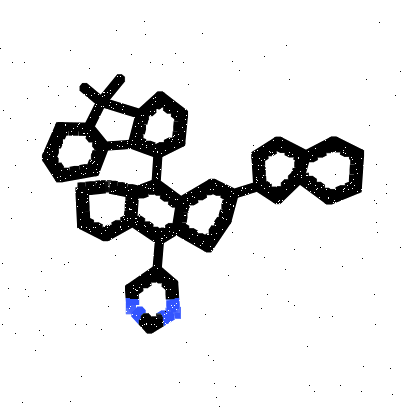 CC1(C)c2ccccc2-c2c(-c3c4ccccc4c(-c4cncnc4)c4ccc(-c5ccc6ccccc6c5)cc34)cccc21